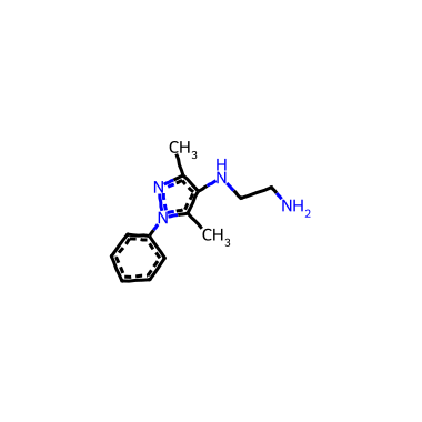 Cc1nn(-c2ccccc2)c(C)c1NCCN